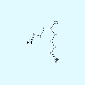 N#CC(CCC=N)CCCC=N